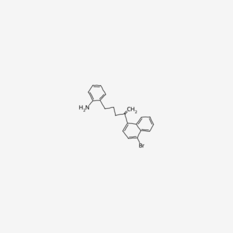 C=C(CCCc1ccccc1N)c1ccc(Br)c2ccccc12